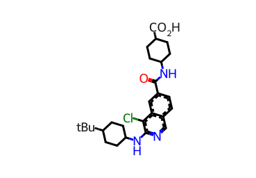 CC(C)(C)C1CCC(Nc2ncc3ccc(C(=O)NC4CCC(C(=O)O)CC4)cc3c2Cl)CC1